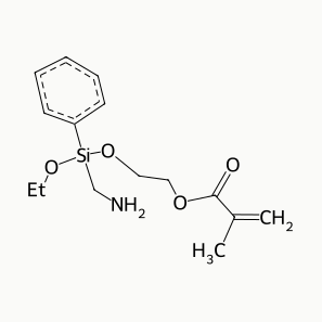 C=C(C)C(=O)OCCO[Si](CN)(OCC)c1ccccc1